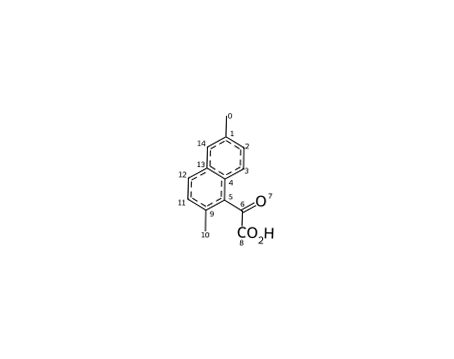 Cc1ccc2c(C(=O)C(=O)O)c(C)ccc2c1